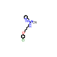 N#C/N=C(\NCCCCCCOc1ccc(Cl)cc1)NCc1ccccn1